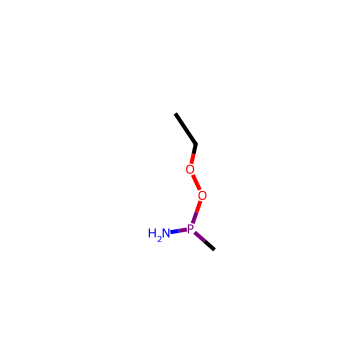 CCOOP(C)N